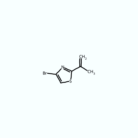 C=C(C)c1nc(Br)cs1